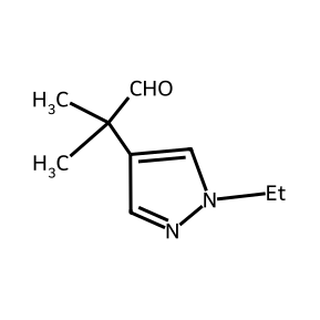 CCn1cc(C(C)(C)C=O)cn1